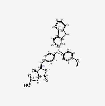 COc1ccc(N(c2ccc(/C=C3\SC(=S)N(CC(=O)O)C3=O)cc2)c2ccc3c(c2)Cc2ccccc2-3)cc1